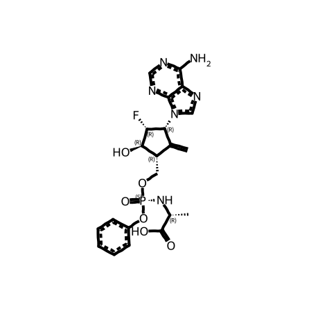 C=C1[C@@H](n2cnc3c(N)ncnc32)[C@@H](F)[C@H](O)[C@H]1CO[P@@](=O)(N[C@H](C)C(=O)O)Oc1ccccc1